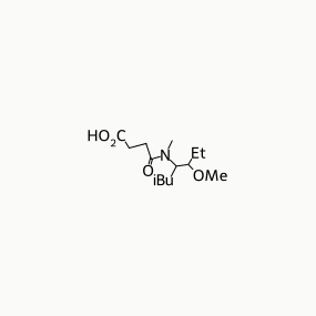 CCC(C)C(C(CC)OC)N(C)C(=O)CCC(=O)O